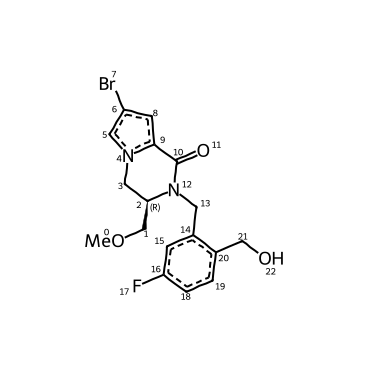 COC[C@H]1Cn2cc(Br)cc2C(=O)N1Cc1cc(F)ccc1CO